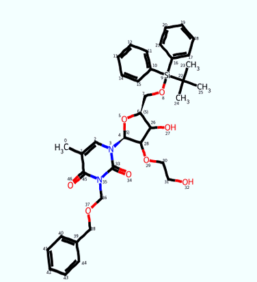 Cc1cn([C@H]2O[C@@H](CO[Si](c3ccccc3)(c3ccccc3)C(C)(C)C)C(O)C2OCCO)c(=O)n(COCc2ccccc2)c1=O